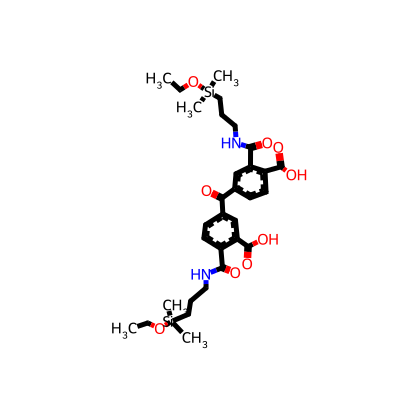 CCO[Si](C)(C)CCCNC(=O)c1ccc(C(=O)c2ccc(C(=O)O)c(C(=O)NCCC[Si](C)(C)OCC)c2)cc1C(=O)O